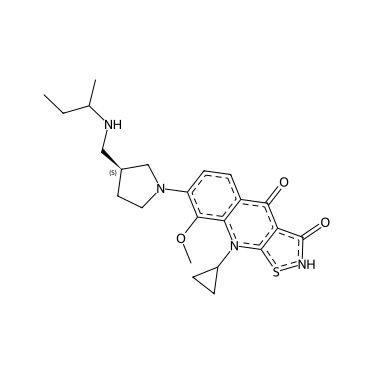 CCC(C)NC[C@@H]1CCN(c2ccc3c(=O)c4c(=O)[nH]sc4n(C4CC4)c3c2OC)C1